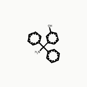 NC(c1ccccc1)(c1ccccc1)c1cccc(O)c1